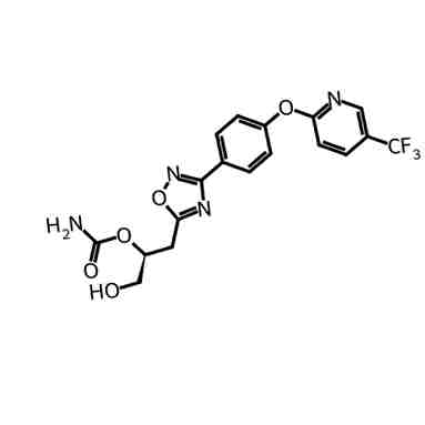 NC(=O)O[C@H](CO)Cc1nc(-c2ccc(Oc3ccc(C(F)(F)F)cn3)cc2)no1